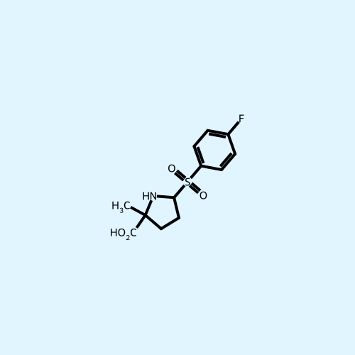 CC1(C(=O)O)CCC(S(=O)(=O)c2ccc(F)cc2)N1